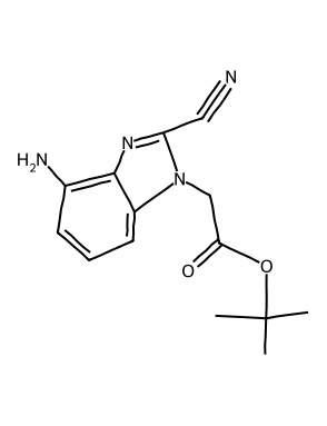 CC(C)(C)OC(=O)Cn1c(C#N)nc2c(N)cccc21